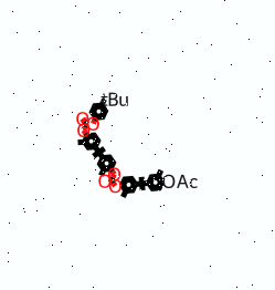 CC(=O)Oc1ccc(C(C)(C)c2ccc(OC(=O)Oc3ccc(C(C)(C)c4ccc(OC(=O)Oc5ccc(C(C)(C)C)cc5)c(C)c4)cc3C)c(C)c2)cc1C